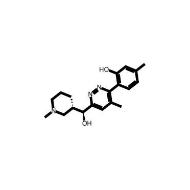 Cc1ccc(-c2nnc([C@@H](O)[C@H]3CCCN(C)C3)cc2C)c(O)c1